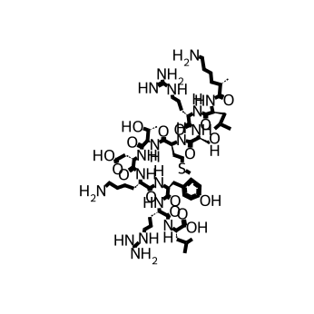 CSCC[C@H](NC(=O)[C@H](CO)NC(=O)[C@H](CCCNC(=N)N)NC(=O)[C@H](CC(C)C)NC(=O)[C@@H](C)CCCCN)C(=O)N[C@H](C(=O)N[C@@H](CC(=O)O)C(=O)N[C@@H](CCCCN)C(=O)N[C@@H](Cc1ccc(O)cc1)C(=O)N[C@@H](CCCNC(=N)N)C(=O)N[C@@H](CC(C)C)C(=O)O)[C@@H](C)O